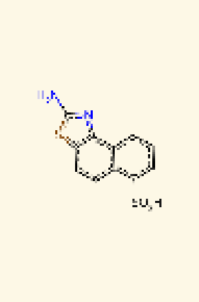 Nc1nc2c(ccc3c(S(=O)(=O)O)cccc32)s1